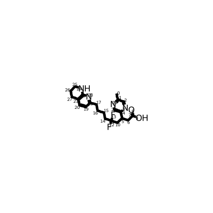 Cc1cnc(C(CC(=O)O)CC(F)(F)CCCCc2ccc3c(n2)NCCC3)cn1